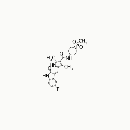 Cc1[nH]c(/C=C2\C(=O)Nc3ccc(F)cc32)c(C)c1C(=O)NC1CCN(S(C)(=O)=O)CC1